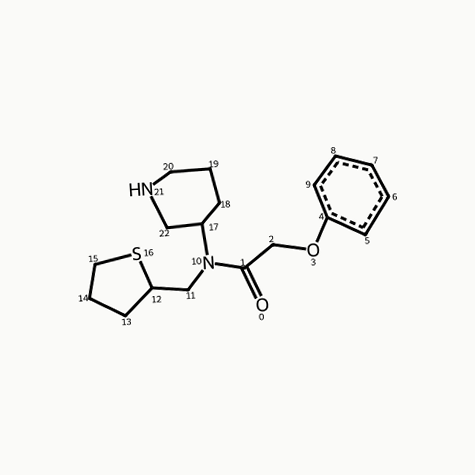 O=C(COc1ccccc1)N(CC1CCCS1)C1CCCNC1